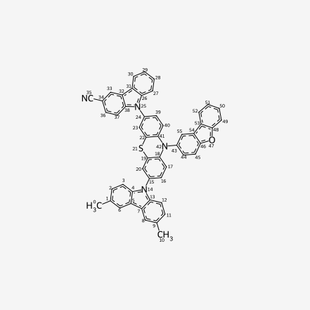 Cc1ccc2c(c1)c1cc(C)ccc1n2-c1ccc2c(c1)Sc1cc(-n3c4ccccc4c4cc(C#N)ccc43)ccc1N2c1ccc2oc3ccccc3c2c1